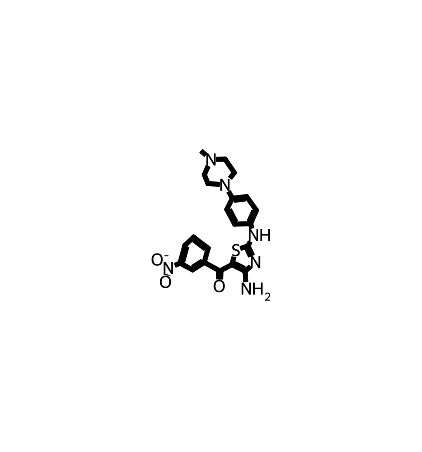 CN1CCN(c2ccc(Nc3nc(N)c(C(=O)c4cccc([N+](=O)[O-])c4)s3)cc2)CC1